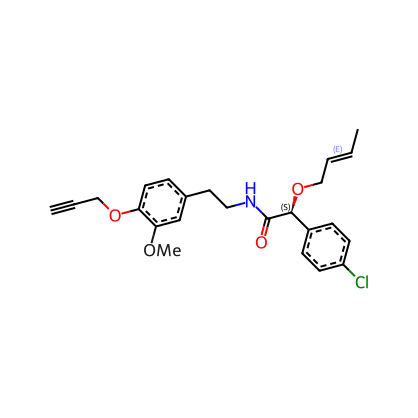 C#CCOc1ccc(CCNC(=O)[C@@H](OC/C=C/C)c2ccc(Cl)cc2)cc1OC